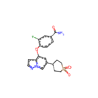 NC(=O)c1ccc(Oc2cc(C3CCS(=O)(=O)CC3)cn3nccc23)c(F)c1